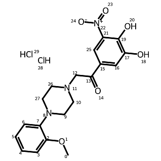 COc1ccccc1N1CCN(CC(=O)c2cc(O)c(O)c([N+](=O)[O-])c2)CC1.Cl.Cl